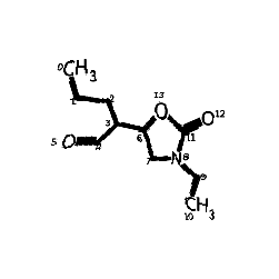 CCCC(C=O)C1CN(CC)C(=O)O1